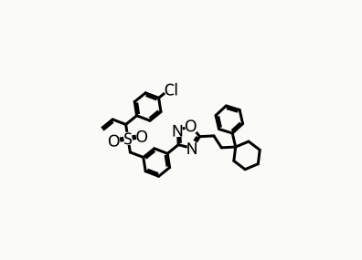 C=CC(c1ccc(Cl)cc1)S(=O)(=O)Cc1cccc(-c2noc(CCC3(c4ccccc4)CCCCC3)n2)c1